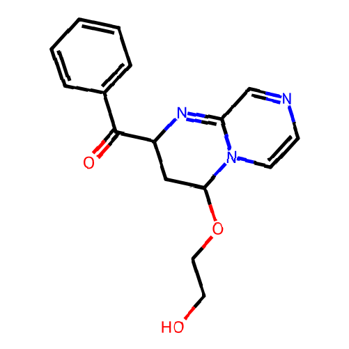 O=C(c1ccccc1)C1CC(OCCO)N2C=CN=CC2=N1